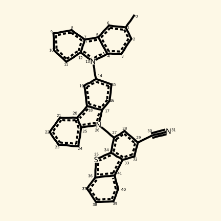 Cc1ccc2c(c1)c1ccccc1n2-c1ccc2c(c1)c1ccccc1n2-c1cc(C#N)cc2c1sc1ccccc12